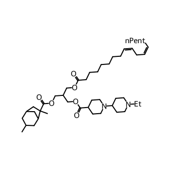 CCCCC/C=C\C/C=C\CCCCCCCC(=O)OCC(COC(=O)C1CCN(C2CCN(CC)CC2)CC1)COC(=O)C1(C)CC2CC(C)CC1C2